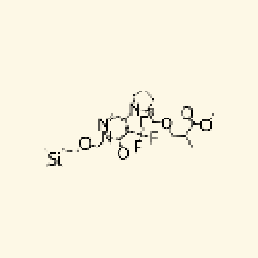 COC(=O)C(C)COC[C@@H]1CCCN1c1cnn(COCC[Si](C)(C)C)c(=O)c1C(F)(F)F